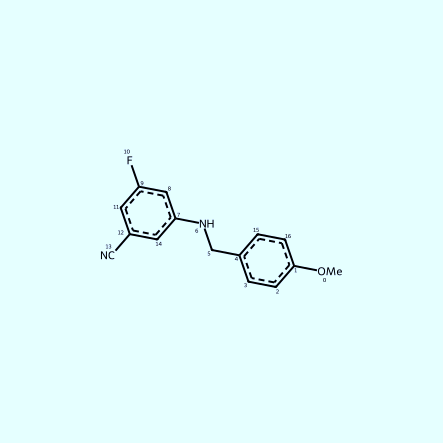 COc1ccc(CNc2cc(F)cc(C#N)c2)cc1